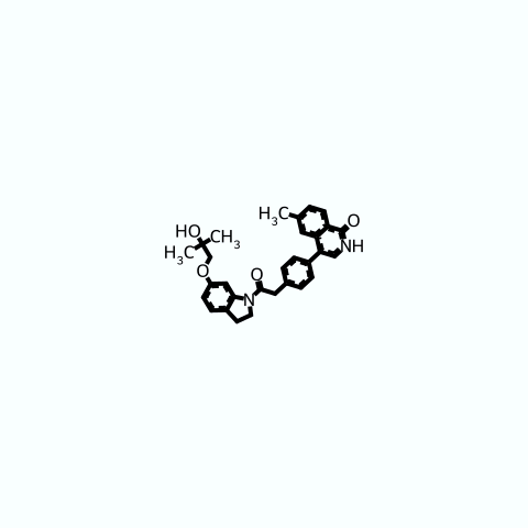 Cc1ccc2c(=O)[nH]cc(-c3ccc(CC(=O)N4CCc5ccc(OCC(C)(C)O)cc54)cc3)c2c1